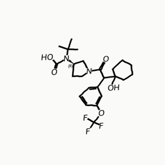 CC(C)(C)N(C(=O)O)[C@@H]1CCN(C(=O)C(c2cccc(OC(F)(F)F)c2)C2(O)CCCCC2)C1